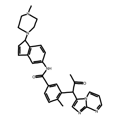 CC(=O)C(c1cc(C(=O)Nc2ccc3c(c2)C=CC3N2CCN(C)CC2)ccc1C)c1cnc2ncccn12